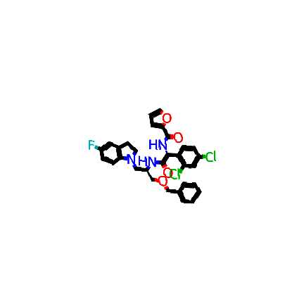 O=C(N[C@@H](C(=O)N[C@@H](COCc1ccccc1)CN1CCc2cc(F)ccc21)c1ccc(Cl)cc1Cl)c1ccco1